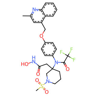 Cc1cc(COc2ccc(N(C(=O)C(F)(F)F)C3(CC(=O)NO)CCCN(S(C)(=O)=O)C3)cc2)c2ccccc2n1